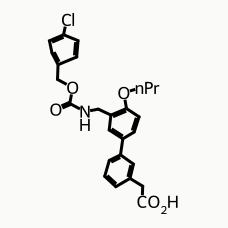 CCCOc1ccc(-c2cccc(CC(=O)O)c2)cc1CNC(=O)OCc1ccc(Cl)cc1